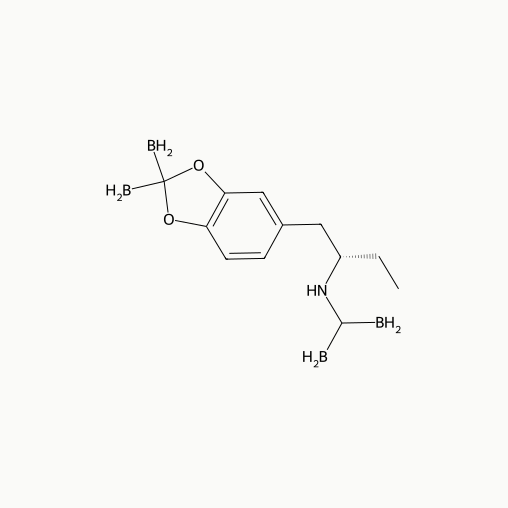 BC(B)N[C@@H](CC)Cc1ccc2c(c1)OC(B)(B)O2